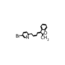 C=c1oc2ccccc2/c1=C/C=C\Cc1ccc(Br)cn1